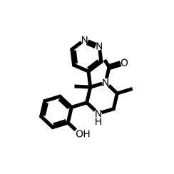 CC(=O)N1C(C)CNC(c2ccccc2O)C1(C)c1ccnnc1